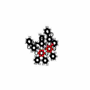 N#Cc1c(N2c3ccc(-c4ccccc4)cc3Oc3cc4oc5ccccc5c4cc32)c(N2c3ccc(-c4ccccc4)cc3Oc3cc4oc5ccccc5c4cc32)c(N2c3ccc(-c4ccccc4)cc3Oc3cc4oc5ccccc5c4cc32)c2c3ccc(o3)c12